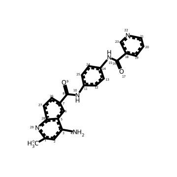 Cc1cc(N)c2cc(C(=O)Nc3ccc(NC(=O)c4cccnc4)cc3)ccc2n1